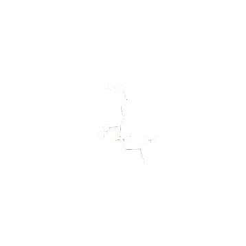 CCCCCCCCCCCC(Cl)[N+](C)(C)CC(C)O.[Cl-]